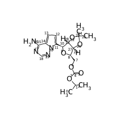 CC(C)OC(=O)OC[C@H]1O[C@@H](c2ccc3c(N)ncnn23)[C@@H]2OC(C)(C)O[C@@H]21